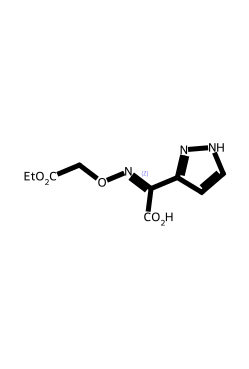 CCOC(=O)CO/N=C(\C(=O)O)c1cc[nH]n1